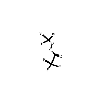 O=C(OOC(F)(F)F)C(F)(F)F